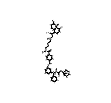 CCN(CCCCNCC(O)c1ccc(O)c2[nH]c(=O)ccc12)C(=O)c1ccc(COc2cccc([C@@H](NC(=O)OC3CN4CCC3CC4)c3ccccc3)c2)cc1